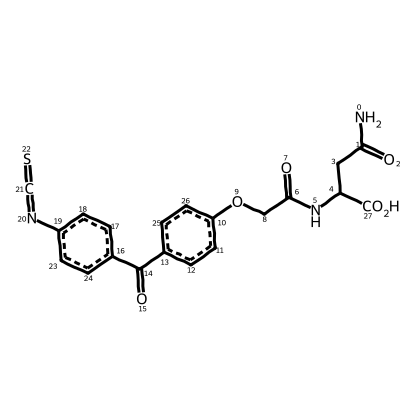 NC(=O)CC(NC(=O)COc1ccc(C(=O)c2ccc(N=C=S)cc2)cc1)C(=O)O